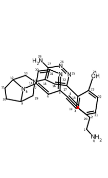 NCCC#Cc1cc(N2C3CCC2CN(c2cc(-c4ccccc4O)nnc2N)C3)ccn1